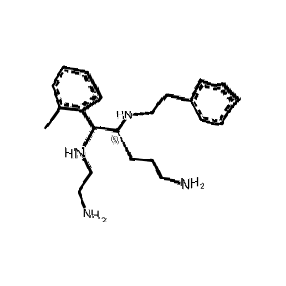 Cc1ccccc1C(NCCN)[C@H](CCCN)NCCc1ccccc1